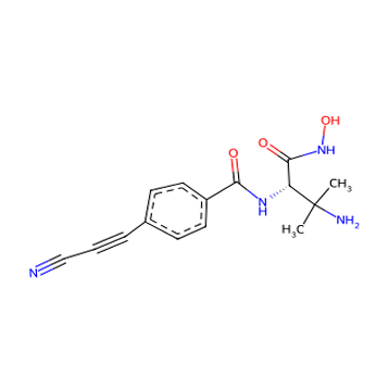 CC(C)(N)[C@H](NC(=O)c1ccc(C#CC#N)cc1)C(=O)NO